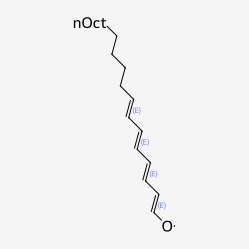 CCCCCCCCCCCC/C=C/C=C/C=C/C=C/[O]